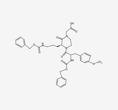 COc1ccc(CC(NC(=O)OCc2ccccc2)C(=O)N2CCN(CC(=O)O)C(=O)[C@@H]2CCCNC(=O)OCc2ccccc2)cc1